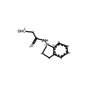 O=CCC(=O)NN1CCc2ccccc21